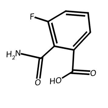 NC(=O)c1c(F)cccc1C(=O)O